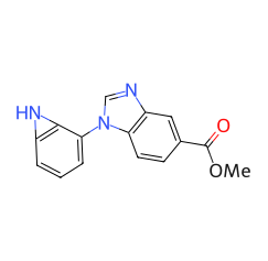 COC(=O)c1ccc2c(c1)ncn2-c1cccc2c1N2